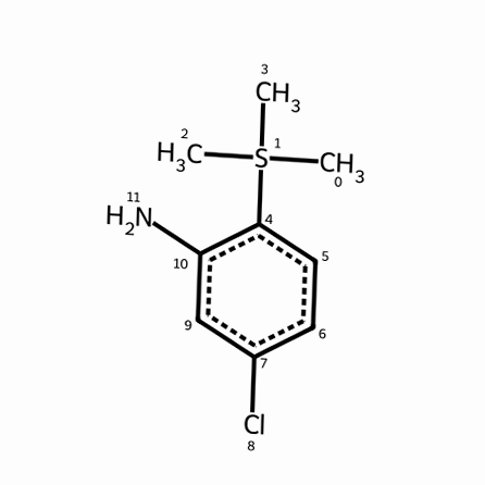 CS(C)(C)c1ccc(Cl)cc1N